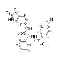 C[C@H](CN[C@@H](C(=O)Nc1ccc2[nH]c(=O)[nH]c2c1)c1ccccc1)c1ccc(C#N)cc1